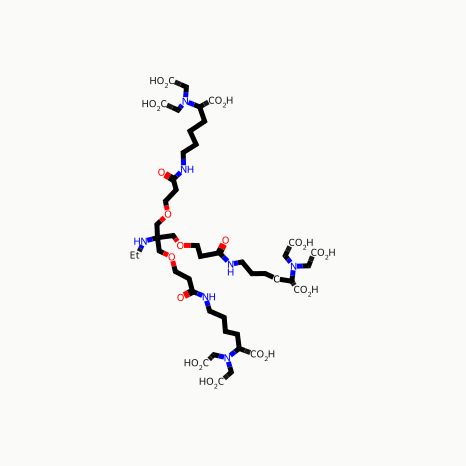 CCNC(COCCC(=O)NCCCCC(C(=O)O)N(CC(=O)O)CC(=O)O)(COCCC(=O)NCCCCC(C(=O)O)N(CC(=O)O)CC(=O)O)COCCC(=O)NCCCCC(C(=O)O)N(CC(=O)O)CC(=O)O